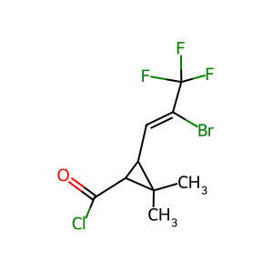 CC1(C)C(/C=C(\Br)C(F)(F)F)C1C(=O)Cl